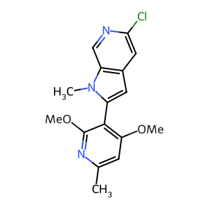 COc1cc(C)nc(OC)c1-c1cc2cc(Cl)ncc2n1C